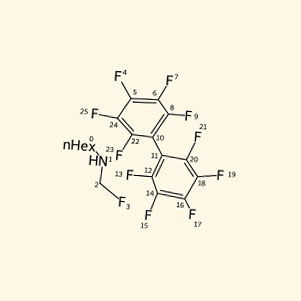 CCCCCCNCF.Fc1c(F)c(F)c(-c2c(F)c(F)c(F)c(F)c2F)c(F)c1F